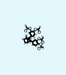 CC(=O)Oc1ccc(C2C3CCC(C)(C2c2ccc(OC(C)=O)c(OC(C)=O)c2)C3(C)C)cc1OC(C)=O